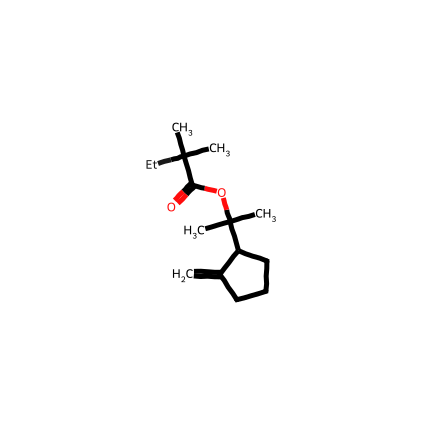 C=C1CCCC1C(C)(C)OC(=O)C(C)(C)CC